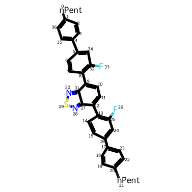 CCCCCc1ccc(-c2ccc(-c3ccc(-c4ccc(-c5ccc(CCCCC)cc5)cc4F)c4nsnc34)c(F)c2)cc1